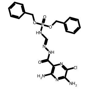 Nc1nc(N)c(C(=O)NN=CNP(=O)(OCc2ccccc2)OCc2ccccc2)nc1Cl